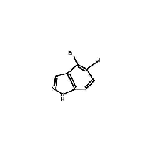 Brc1c(I)ccc2[nH]ncc12